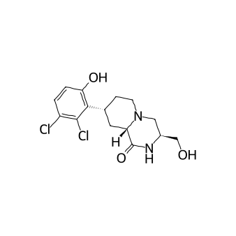 O=C1N[C@H](CO)CN2CC[C@@H](c3c(O)ccc(Cl)c3Cl)C[C@@H]12